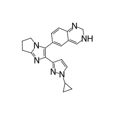 C1=c2cc(-c3c(-c4ccn(C5CC5)n4)nc4n3CCC4)ccc2=NCN1